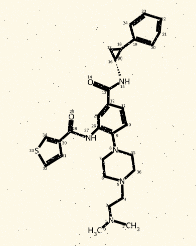 CN(C)CCN1CCN(c2ccc(C(=O)N[C@@H]3CC3c3ccccc3)cc2NC(=O)c2ccsc2)CC1